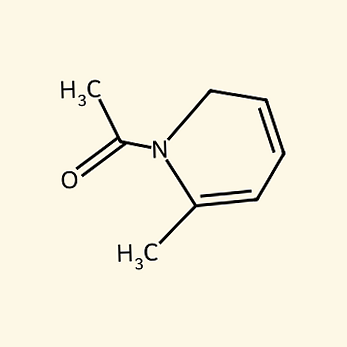 CC(=O)N1CC=CC=C1C